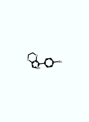 CCC(C)c1ccc(-c2[nH]cc3c2OCCO3)cc1